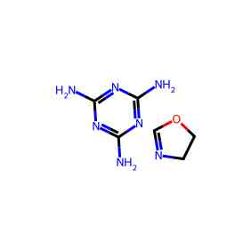 C1=NCCO1.Nc1nc(N)nc(N)n1